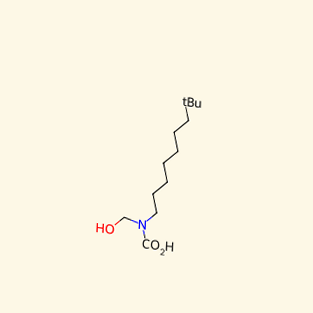 CC(C)(C)CCCCCCCN(CO)C(=O)O